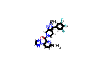 Cc1ccc(-n2nccn2)c(C(=O)N2CCc3c(nn(C)c3-c3cc(F)c(F)c(F)c3)C2)n1